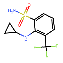 NS(=O)(=O)c1cccc(C(F)(F)F)c1NC1CC1